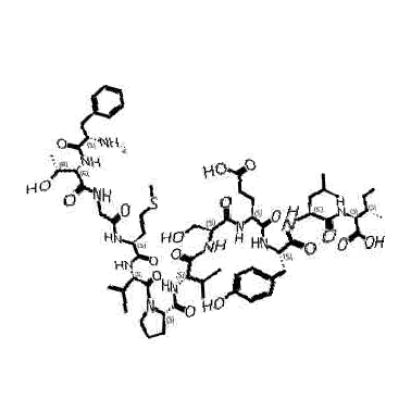 CC[C@H](C)[C@H](NC(=O)[C@H](CC(C)C)NC(=O)[C@H](Cc1ccc(O)cc1)NC(=O)[C@H](CCC(=O)O)NC(=O)[C@H](CO)NC(=O)[C@@H](NC(=O)[C@@H]1CCCN1C(=O)[C@@H](NC(=O)[C@H](CCSC)NC(=O)CNC(=O)[C@@H](NC(=O)[C@@H](N)Cc1ccccc1)[C@@H](C)O)C(C)C)C(C)C)C(=O)O